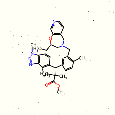 CC[C@@H]1CN(Cc2cc([C@@H](c3ccc4c(nnn4C)c3C)C(C)(C)C(=O)OC)ccc2C)Cc2ccncc2O1